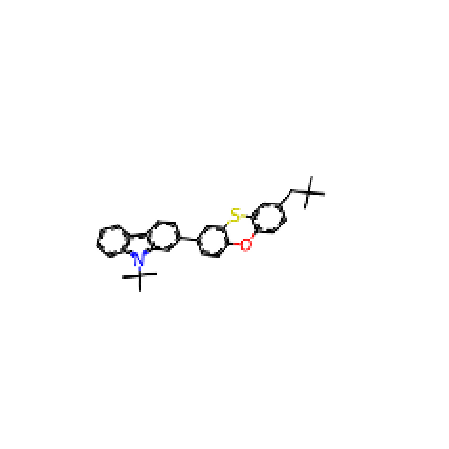 CC(C)(C)Cc1ccc2c(c1)Sc1cc(-c3ccc4c5ccccc5n(C(C)(C)C)c4c3)ccc1O2